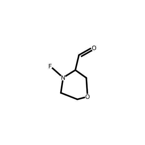 O=CC1COCCN1F